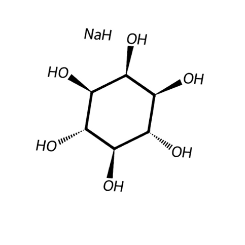 O[C@H]1[C@H](O)[C@@H](O)[C@H](O)[C@@H](O)[C@H]1O.[NaH]